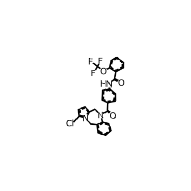 O=C(Nc1ccc(C(=O)N2Cc3ccc(Cl)n3Cc3ccccc32)cc1)c1ccccc1OC(F)(F)F